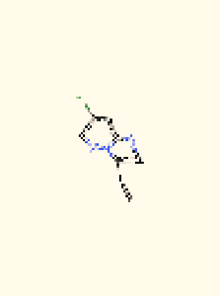 C=Cc1cnc2cc(Cl)cnn12